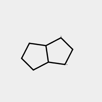 [CH]1C[CH]C2CCCC12